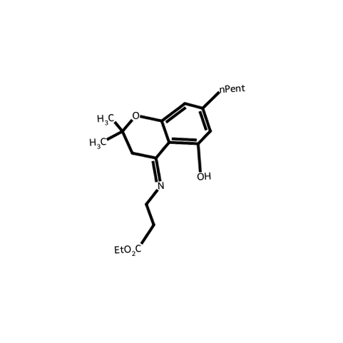 CCCCCc1cc(O)c2c(c1)OC(C)(C)CC2=NCCC(=O)OCC